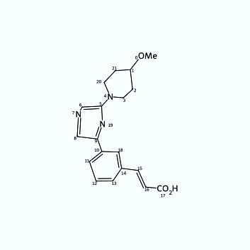 COC1CCN(c2cncc(-c3cccc(C=CC(=O)O)c3)n2)CC1